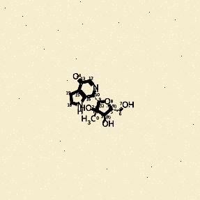 C[C@@]1(O)[C@H](O)[C@@H](CO)O[C@H]1C1N=CC(=O)C2=C1NCC2